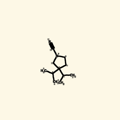 CC(C)C1(C(C)C)CCN(C#N)C1